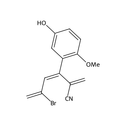 C=C(Br)/C=C(\C(=C)C#N)c1cc(O)ccc1OC